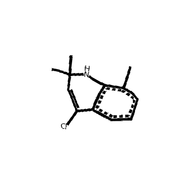 Cc1cccc2c1NC(C)(C)C=C2Cl